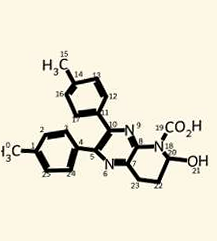 Cc1ccc(-c2nc3c(nc2-c2ccc(C)cc2)N(C(=O)O)C(O)CC3)cc1